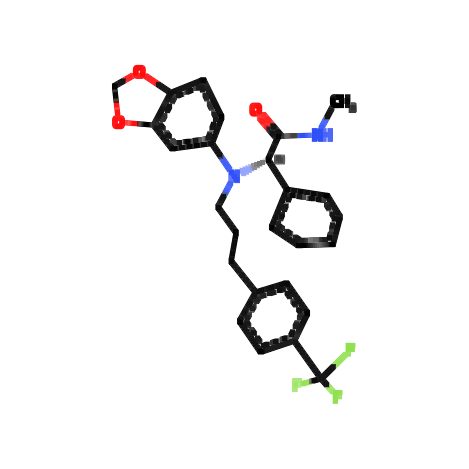 CNC(=O)[C@H](c1ccccc1)N(CCCc1ccc(C(F)(F)F)cc1)c1ccc2c(c1)OCO2